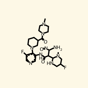 CN1CCN(C(=O)C2CCCN(c3c(F)cncc3NC(=O)C(C(N)N=O)C3NCC(F)CN3C)C2)CC1